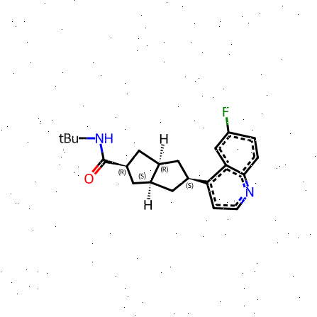 CC(C)(C)NC(=O)[C@@H]1C[C@@H]2C[C@H](c3ccnc4ccc(F)cc34)C[C@@H]2C1